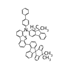 CC1(C)c2ccccc2-c2ccc(N(c3ccc(-c4ccccc4)cc3)c3cccc4c3sc3c(-c5cccc6c5-c5ccccc5C65c6ccccc6C(C)(C)c6ccccc65)cccc34)cc21